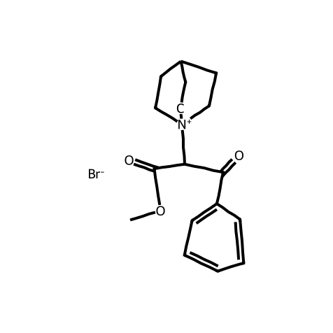 COC(=O)C(C(=O)c1ccccc1)[N+]12CCC(CC1)CC2.[Br-]